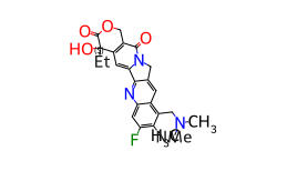 CC[C@@]1(O)C(=O)OCc2c1cc1n(c2=O)Cc2cc3c(CN(C)C)c(NC)c(F)cc3nc2-1